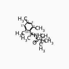 Cc1cc(C)c([C@@H](C)N[S+]([O-])C(C)(C)C)c(C)c1